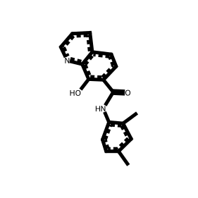 Cc1ccc(NC(=O)c2ccc3cccnc3c2O)c(C)c1